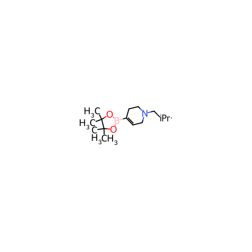 C[C](C)CN1CC=C(B2OC(C)(C)C(C)(C)O2)CC1